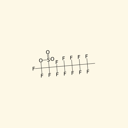 CC(F)(F)C(F)(F)C(F)(F)C(F)(F)C(F)(F)C1(F)C(F)(F)OS1(=O)=O